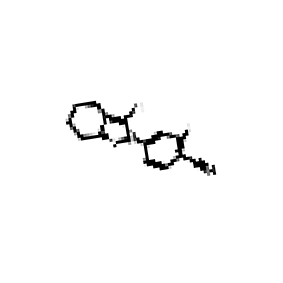 N#Cc1ccc(-n2nc3c(c2Cl)CCCC3)cc1F